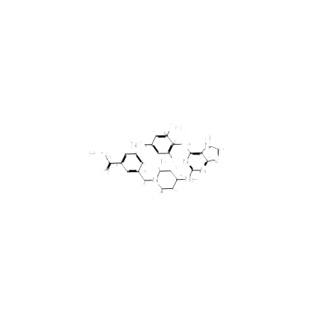 Cc1cc(C#N)cc(C)c1Oc1nc(NC2CCN(Cc3cccc(C(N)=O)c3)CC2)nc2c1NCS2